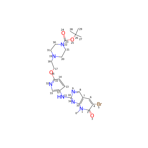 Cn1c(=O)c(Br)cc2cnc(Nc3ccc(OCCN4CCN(C(=O)OC(C)(C)C)CC4)nc3)nc21